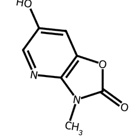 Cn1c(=O)oc2cc(O)cnc21